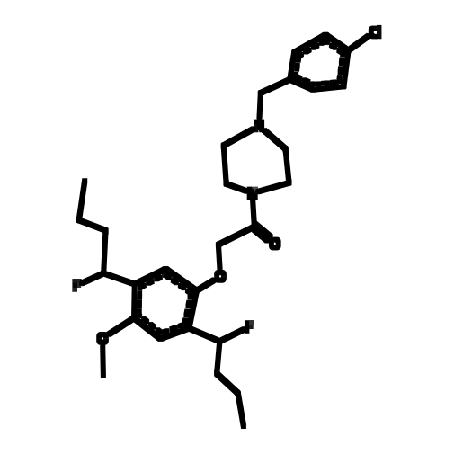 CCCC(F)c1cc(OCC(=O)N2CCN(Cc3ccc(Cl)cc3)CC2)c(C(F)CCC)cc1OC